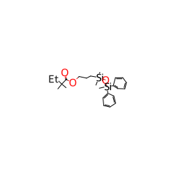 CCC(C)(C)C(=O)OCCC[Si](C)(C)O[Si](C)(c1ccccc1)c1ccccc1